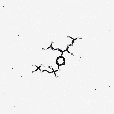 CN/C(S)=N/N=C(C)/C(=N/N=C(\S)NC)c1ccc(NC(C)(C)CCOC(C)(N)C(C)C)cc1